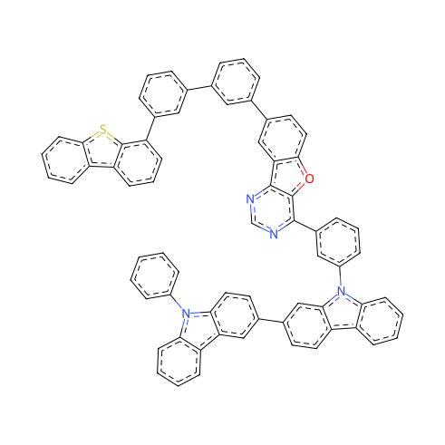 c1ccc(-n2c3ccccc3c3cc(-c4ccc5c6ccccc6n(-c6cccc(-c7ncnc8c7oc7ccc(-c9cccc(-c%10cccc(-c%11cccc%12c%11sc%11ccccc%11%12)c%10)c9)cc78)c6)c5c4)ccc32)cc1